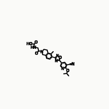 Cc1c(-c2noc(-c3cnc(OC(C)C)c(C#N)c3)n2)ccc2c1CCN(C(=O)CNC(=O)O)C2